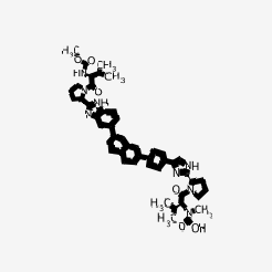 COC(=O)N[C@H](C(=O)N1CCCC1c1nc2cc(-c3ccc4ccc(-c5ccc(-c6c[nH]c([C@@H]7CCCN7C(=O)[C@H](C(C)C)N(C)C(=O)O)n6)cc5)cc4c3)ccc2[nH]1)C(C)C